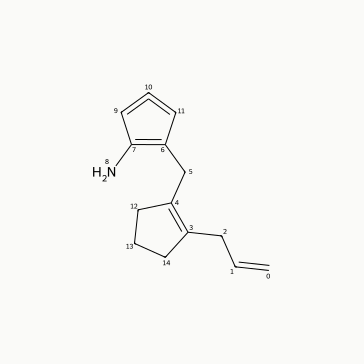 C=CCC1=C(CC2=C(N)C=C=C2)CCC1